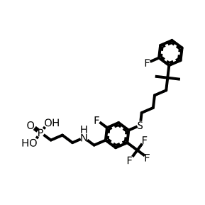 CC(C)(CCCCSc1cc(F)c(CNCCCP(=O)(O)O)cc1C(F)(F)F)c1ccccc1F